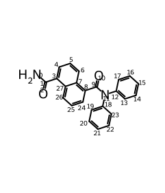 NC(=O)c1cccc2c(C(=O)N(c3ccccc3)c3ccccc3)cccc12